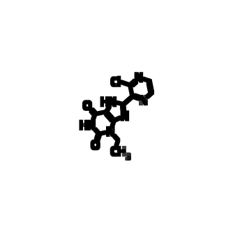 CCn1c(=O)[nH]c(=O)c2[nH]c(-c3nccnc3Cl)nc21